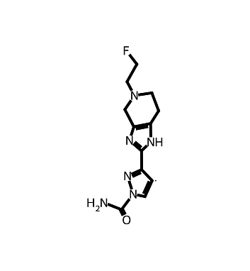 NC(=O)n1c[c]c(-c2nc3c([nH]2)CCN(CCF)C3)n1